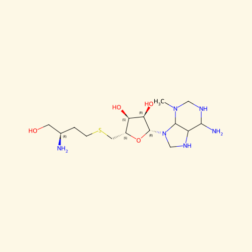 CN1CNC(N)C2NCN([C@@H]3O[C@H](CSCC[C@@H](N)CO)[C@@H](O)[C@H]3O)C21